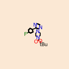 CC(C)(C)OC(=O)N1CCN(c2nccnc2-c2ccc(F)cc2)CC1